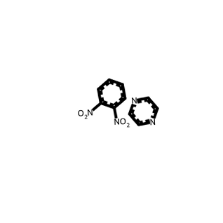 O=[N+]([O-])c1ccccc1[N+](=O)[O-].c1cnccn1